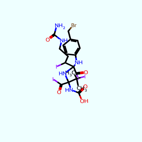 CC(C)(I)C(NC(=O)O)(NC(Nc1ccc(CBr)cc1)(C(=O)I)C(I)CCNC(N)=O)C(=O)I